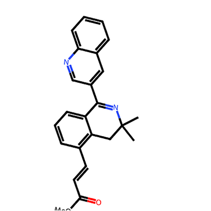 COC(=O)C=Cc1cccc2c1CC(C)(C)N=C2c1cnc2ccccc2c1